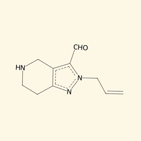 C=CCn1nc2c(c1C=O)CNCC2